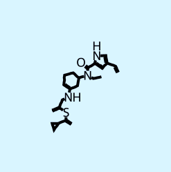 C=Cc1c[nH]c(C(=O)N(CC)C2CCC=C(NCC(=C)SC(=C)C3CC3)C2)c1